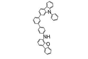 c1ccc(-n2c3ccccc3c3ccc(-c4cccc(-c5ccc(Nc6cccc7c6oc6ccccc67)cc5)c4)cc32)cc1